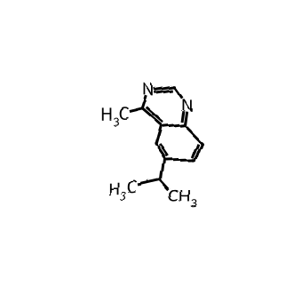 Cc1ncnc2ccc(C(C)C)cc12